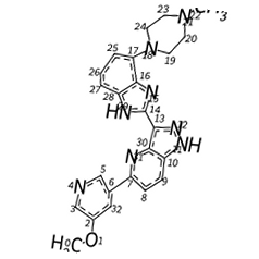 COc1cncc(-c2ccc3[nH]nc(-c4nc5c(N6CCN(C)CC6)cccc5[nH]4)c3n2)c1